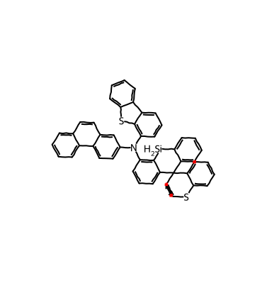 c1ccc2c(c1)[SiH2]c1c(N(c3ccc4c(ccc5ccccc54)c3)c3cccc4c3sc3ccccc34)cccc1C21c2ccccc2Sc2ccccc21